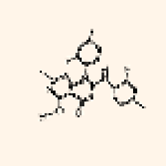 CCOc1nc(C)cc2c1c(=O)cc(Nc1ccc(C)cc1F)n2-c1ccc(C)cc1F